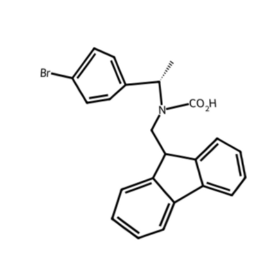 C[C@@H](c1ccc(Br)cc1)N(CC1c2ccccc2-c2ccccc21)C(=O)O